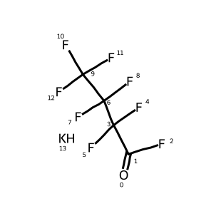 O=C(F)C(F)(F)C(F)(F)C(F)(F)F.[KH]